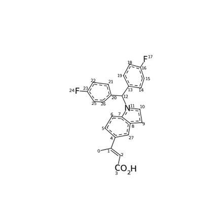 CC(=CC(=O)O)c1ccc2c(ccn2C(c2ccc(F)cc2)c2ccc(F)cc2)c1